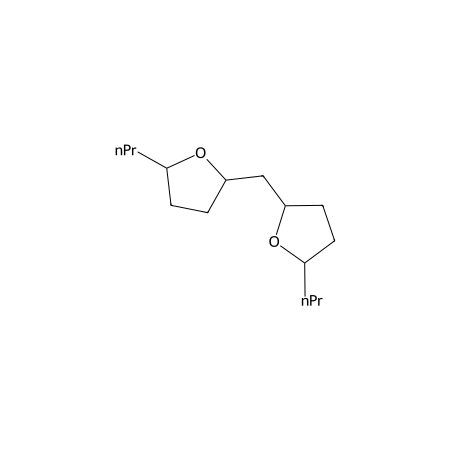 CCCC1CCC(CC2CCC(CCC)O2)O1